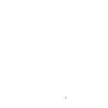 Cc1cc(-c2[nH]c3ccc(C4CCNCC4)cc3c2CCO)c(O)cn1.Cl